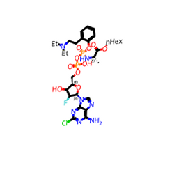 CCCCCCOC(=O)[C@H](C)NP(=O)(Oc1ccccc1CCN(CC)CC)OP(=O)(O)OC[C@H]1O[C@@H](n2cnc3c(N)nc(Cl)nc32)C(F)C1O